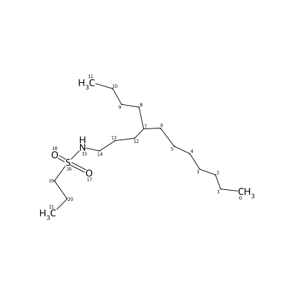 CCCCCCCC(CCCC)CCCNS(=O)(=O)CCC